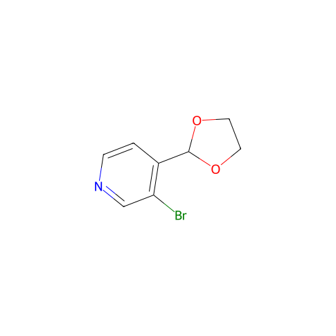 Brc1cnccc1C1OCCO1